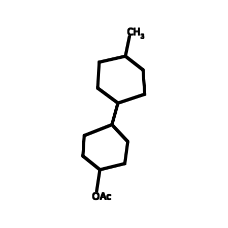 CC(=O)OC1CCC(C2CCC(C)CC2)CC1